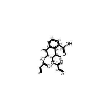 C=CC(=O)OCC(C)c1cccc(C(=O)O)c1C(C)COC(=O)C=C